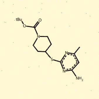 Cc1cc(N)nc(SC2CCN(C(=O)OC(C)(C)C)CC2)n1